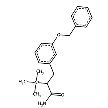 C[N+](C)(C)C(Cc1cccc(OCc2ccccc2)c1)C(N)=O